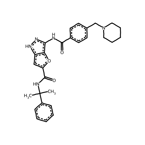 CC(C)(NC(=O)c1cc2[nH]nc(NC(=O)c3ccc(CN4CCCCC4)cc3)c2o1)c1ccccc1